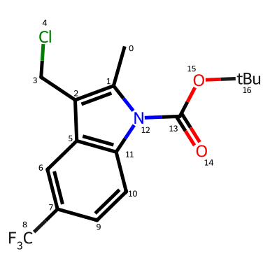 Cc1c(CCl)c2cc(C(F)(F)F)ccc2n1C(=O)OC(C)(C)C